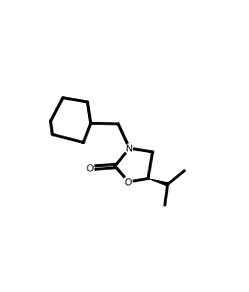 CC(C)[C@@H]1CN(CC2CCCCC2)C(=O)O1